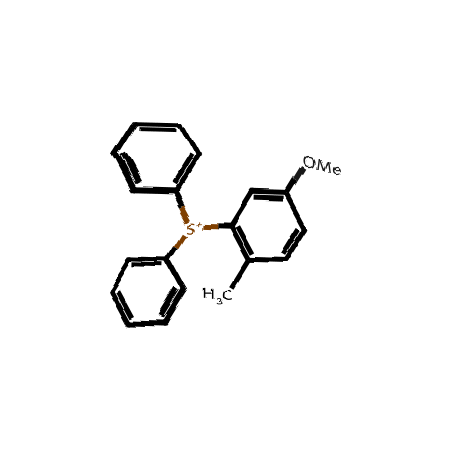 COc1ccc(C)c([S+](c2ccccc2)c2ccccc2)c1